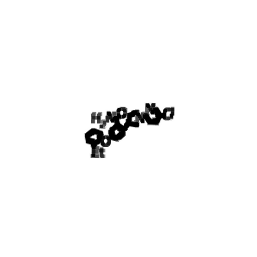 CCc1ccccc1Oc1ccc(C2CCN(c3ccc(Cl)cn3)C2)c(C(N)=O)c1